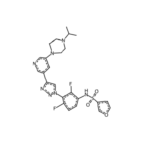 CC(C)N1CCN(c2cncc(-c3cn(-c4c(F)ccc(NS(=O)(=O)c5ccoc5)c4F)nn3)c2)CC1